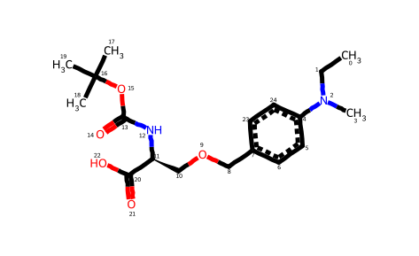 CCN(C)c1ccc(COC[C@H](NC(=O)OC(C)(C)C)C(=O)O)cc1